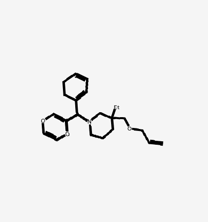 C=CCOCC1(CC)CCCN(C(C2=CC=CCC2)C2=COC=CO2)C1